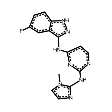 Cn1ccnc1Nc1nccc(Nc2n[nH]c3ccc(F)cc23)n1